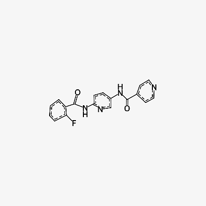 O=C(Nc1ccc(NC(=O)c2ccccc2F)nc1)c1ccncc1